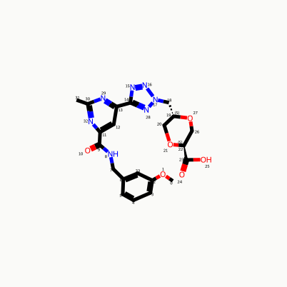 COc1cccc(CNC(=O)c2cc(-c3nnn(C[C@H]4CO[C@H](C(=O)O)CO4)n3)nc(C)n2)c1